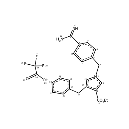 CCOC(=O)c1cn(Cc2ccc(C(=N)N)cc2)cc1Cc1ccccc1.O=C(O)C(F)(F)F